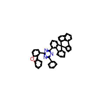 c1ccc(-c2nc(-c3cccc4c3-c3ccccc3C43c4ccccc4-c4cccc5cccc3c45)nc(-c3cccc4oc5ccccc5c34)n2)cc1